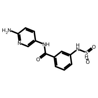 Nc1ccc(NC(=O)c2cccc(N[SH](=O)=O)c2)cn1